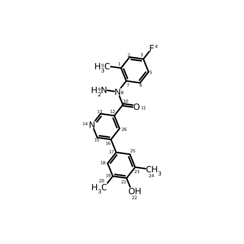 Cc1cc(F)ccc1N(N)C(=O)c1cncc(-c2cc(C)c(O)c(C)c2)c1